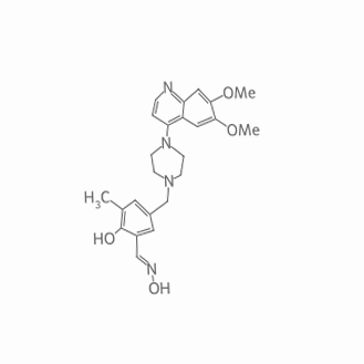 COc1cc2nccc(N3CCN(Cc4cc(C)c(O)c(C=NO)c4)CC3)c2cc1OC